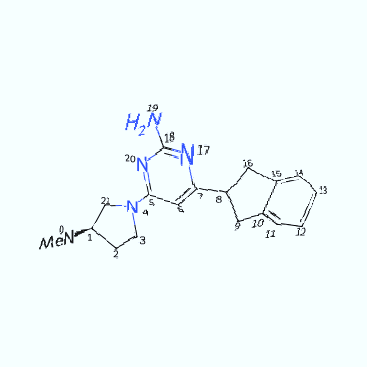 CN[C@@H]1CCN(c2cc(C3Cc4ccccc4C3)nc(N)n2)C1